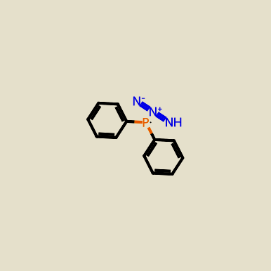 [N-]=[N+]=N.c1ccc([P]c2ccccc2)cc1